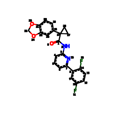 O=C(Nc1cccc(-c2cc(F)ccc2F)n1)C1(c2ccc3c(c2)OCO3)CC1